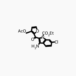 CCOC(=O)n1c(C(=O)c2occc2COC(C)=O)c(N)c2ccc(Cl)cc21